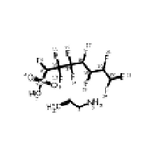 C=CCN.O=S(=O)(O)C(F)C(F)(F)C(F)(F)C(F)C(F)C(F)C(F)F